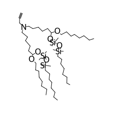 C#CCN(CCCCCC(OCCCCCCCC)O[Si](C)(C)O[Si](C)(C)CCCCCCCC)CCCCCC(OCCCCCCCC)O[Si](C)(C)O[Si](C)(C)CCCCCCCC